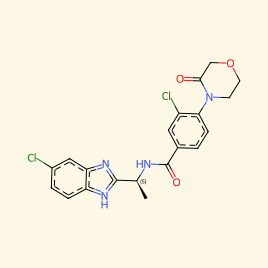 C[C@H](NC(=O)c1ccc(N2CCOCC2=O)c(Cl)c1)c1nc2cc(Cl)ccc2[nH]1